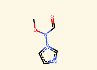 CON([C]=O)n1ccnc1